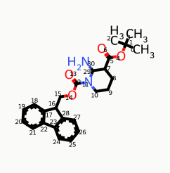 CC(C)(C)OC(=O)C1CCCN(C(=O)OCC2c3ccccc3-c3ccccc32)C1N